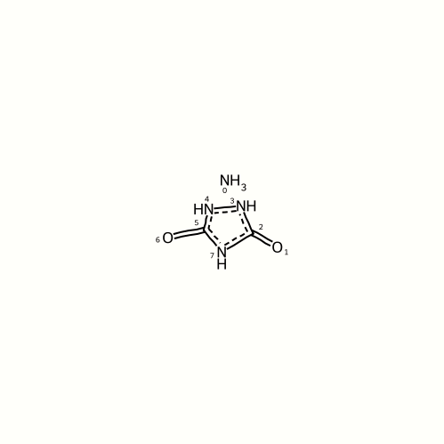 N.O=c1[nH][nH]c(=O)[nH]1